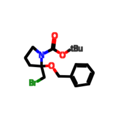 CC(C)(C)OC(=O)N1CCCC1(CBr)OCc1ccccc1